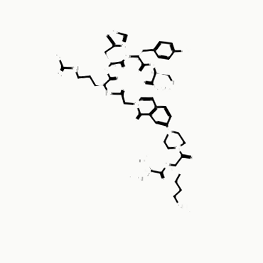 CC[C@H](C)[C@H](NC(C)=O)C(=O)N[C@@H](CCCCN)C(=O)N1CCN(c2ccc3ccn(CC(=O)N[C@@H](CCCNC(=N)N)C(=O)N[C@@H](Cc4c[nH]cn4)C(=O)N[C@@H](Cc4ccc(O)cc4)C(=O)N[C@@H](CC(C)C)C(=O)NC)c(=O)c3c2)CC1